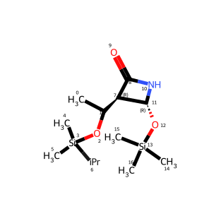 CC(O[Si](C)(C)C(C)C)[C@H]1C(=O)N[C@@H]1O[Si](C)(C)C